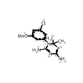 COc1cc(Cl)cc(N2C(N)=NC(N)=NC2(C)C)c1